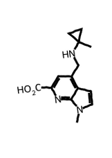 Cn1ccc2c(CNC3(C)CC3)cc(C(=O)O)nc21